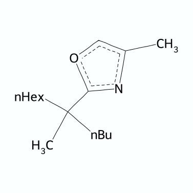 CCCCCCC(C)(CCCC)c1nc(C)co1